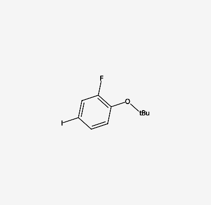 CC(C)(C)Oc1ccc(I)cc1F